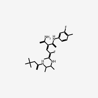 C=C(CC(C)(C)C)NC(C)C(C)N/C(C)=C(F)/C=C(/C(=C)N)C(=C)Nc1ccc(C)c(F)c1